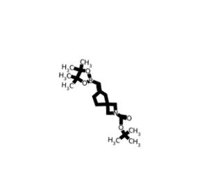 CC(C)(C)OC(=O)N1CC2(CC/C(=C\B3OC(C)(C)C(C)(C)O3)C2)C1